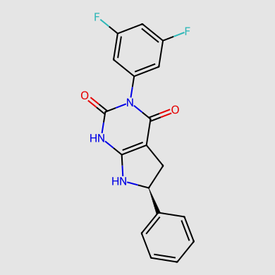 O=c1[nH]c2c(c(=O)n1-c1cc(F)cc(F)c1)C[C@@H](c1ccccc1)N2